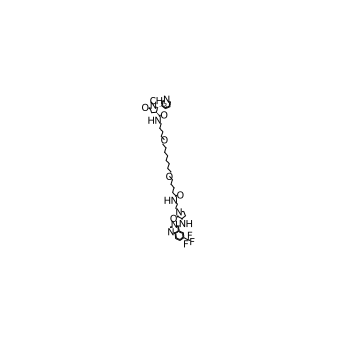 CN1C(=O)C[C@H](C(=O)NCCCCOCCCCCCCCOCCCCC(=O)NCCN2CC[C@H](Nc3ncnc4ccc(C(F)(F)F)cc34)C2=O)[C@H]1c1cccnc1